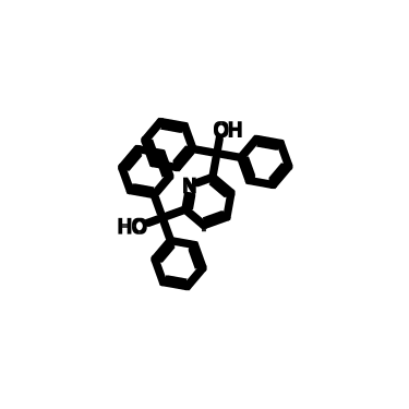 OC(c1ccccc1)(c1ccccc1)c1[c]ccc(C(O)(c2ccccc2)c2ccccc2)n1